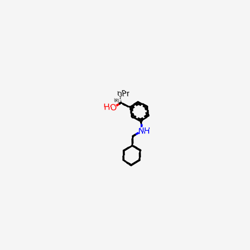 CCC[C@@H](O)c1cccc(NCC2CCCCC2)c1